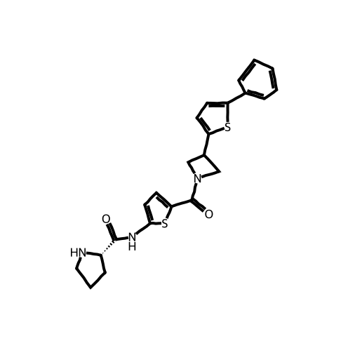 O=C(Nc1ccc(C(=O)N2CC(c3ccc(-c4ccccc4)s3)C2)s1)[C@@H]1CCCN1